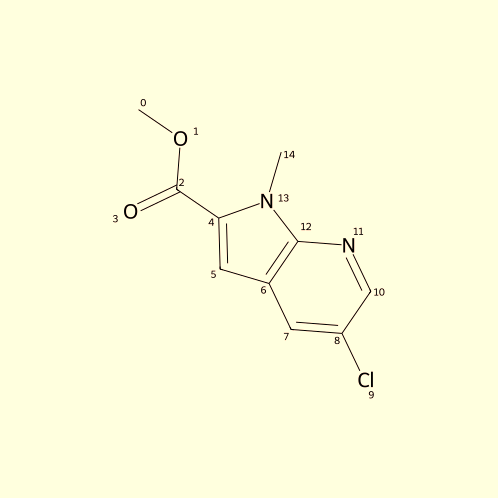 COC(=O)c1cc2cc(Cl)cnc2n1C